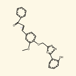 COc1cc(/C=C/C(=O)c2ccccc2)ccc1OCc1nnc(-c2ccccc2O)o1